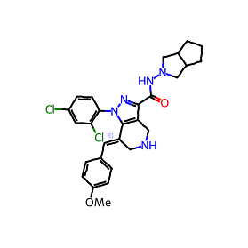 COc1ccc(/C=C2\CNCc3c(C(=O)NN4CC5CCCC5C4)nn(-c4ccc(Cl)cc4Cl)c32)cc1